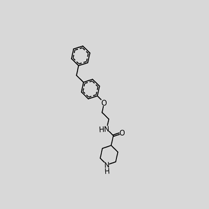 O=C(NCCOc1ccc(Cc2ccccc2)cc1)C1CCNCC1